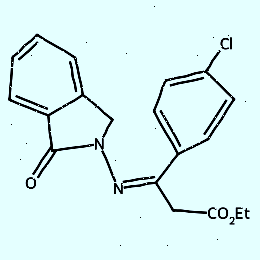 CCOC(=O)CC(=NN1Cc2ccccc2C1=O)c1ccc(Cl)cc1